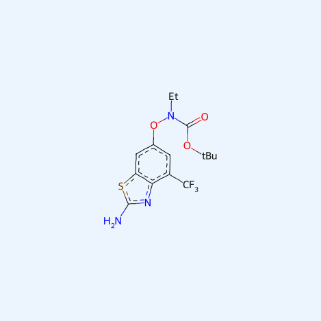 CCN(Oc1cc(C(F)(F)F)c2nc(N)sc2c1)C(=O)OC(C)(C)C